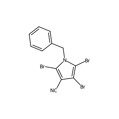 N#Cc1c(Br)c(Br)n(Cc2ccccc2)c1Br